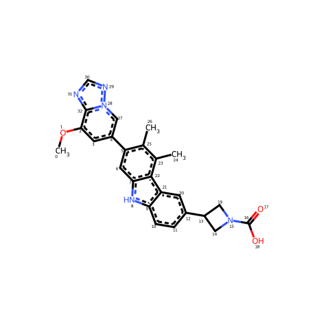 COc1cc(-c2cc3[nH]c4ccc(C5CN(C(=O)O)C5)cc4c3c(C)c2C)cn2ncnc12